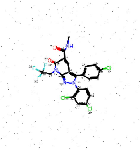 CNC(=O)c1cc2c(-c3ccc(Cl)cc3)n(-c3ccc(Cl)cc3Cl)nc2n(CC(F)(F)F)c1=O